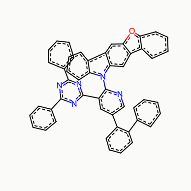 c1ccc(-c2nc(-c3ccccc3)nc(-c3cc(-c4ccccc4-c4ccccc4)cnc3-n3c4ccccc4c4cc5oc6ccccc6c5cc43)n2)cc1